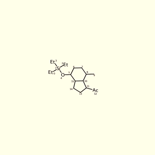 CC[Si](CC)(CC)OC1CCC(C)C2C(C(C)=O)CCC12